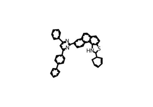 C1=CCC(C2Nc3c(ccc4ccc5cc(-c6nc(-c7ccccc7)cc(-c7ccc(-c8ccccc8)cc7)n6)ccc5c34)S2)C=C1